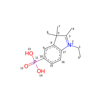 CC[N+]1=C(C)C(C)(C)c2cc(P(=O)(O)O)ccc21